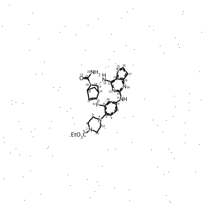 CCOC(=O)N1CCN(c2ccc(Nc3nc(N[C@@H]4C5C=CC(C5)[C@H]4C(N)=O)c4sccc4n3)cc2F)CC1